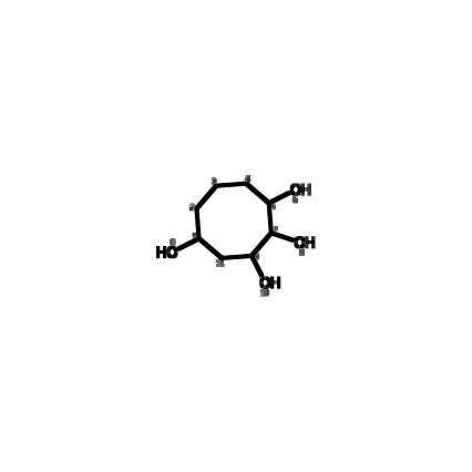 OC1CCCC(O)C(O)C(O)C1